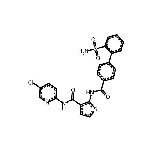 NS(=O)(=O)c1ccccc1-c1ccc(C(=O)Nc2sccc2C(=O)Nc2ccc(Cl)cn2)cc1